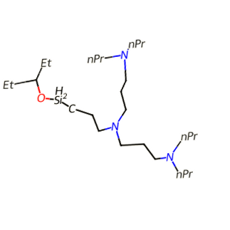 CCCN(CCC)CCCN(CCC[SiH2]OC(CC)CC)CCCN(CCC)CCC